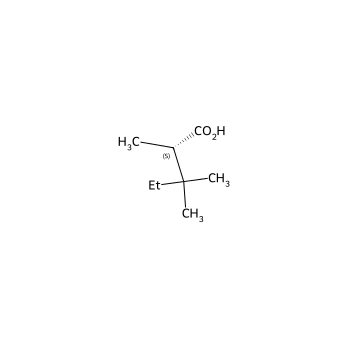 CCC(C)(C)[C@H](C)C(=O)O